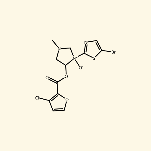 CN1CC(OC(=O)c2occc2Cl)[N+]([O-])(c2ncc(Br)s2)C1